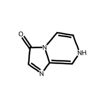 O=c1cnc2c[nH]ccn1-2